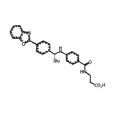 CCC(C)[C@@H](Nc1ccc(C(=O)NCCC(=O)O)cc1)c1ccc(-c2nc3ccccc3o2)cc1